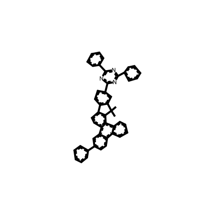 CC1(C)c2cc(-c3nc(-c4ccccc4)nc(-c4ccccc4)n3)ccc2-c2ccc3c4cc(-c5ccccc5)ccc4c4ccccc4c3c21